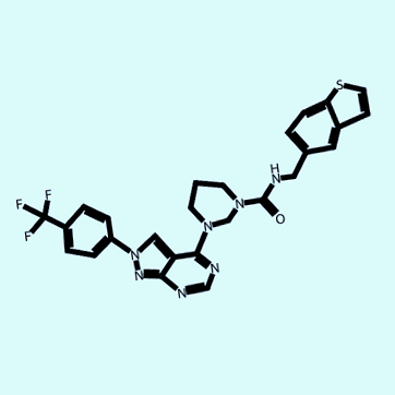 O=C(NCc1ccc2sccc2c1)N1CCCN(c2ncnc3nn(-c4ccc(C(F)(F)F)cc4)cc23)C1